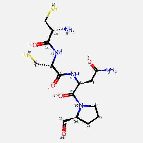 NC(=O)C[C@H](NC(=O)[C@H](CS)NC(=O)[C@@H](N)CS)C(=O)N1CCC[C@H]1[C]=O